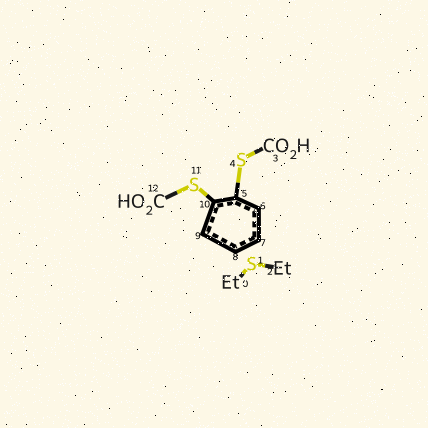 CCSCC.O=C(O)Sc1ccccc1SC(=O)O